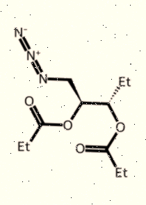 CCC(=O)O[C@@H](CC)[C@H](CN=[N+]=[N-])OC(=O)CC